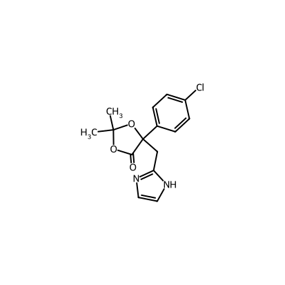 CC1(C)OC(=O)C(Cc2ncc[nH]2)(c2ccc(Cl)cc2)O1